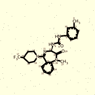 Cc1cccc(NC(=O)N[C@@H]2N=C(N3CCC(C(F)(F)F)CC3)c3ccccc3N(C)C2=O)c1